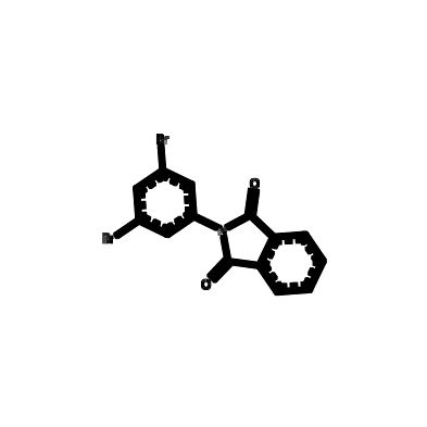 O=C1c2ccccc2C(=O)N1c1cc(Br)cc(Br)c1